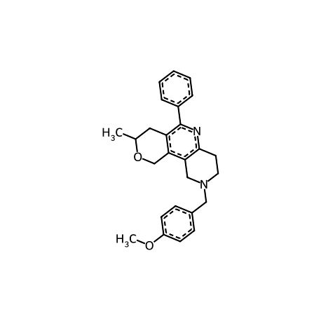 COc1ccc(CN2CCc3nc(-c4ccccc4)c4c(c3C2)COC(C)C4)cc1